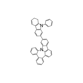 C1=Cc2c(n(-c3ccccc3)c3cc(-c4ccc5c6cccc7c6n(c5c4)-c4ccccc4-c4ccccc4-7)ccc23)CC1